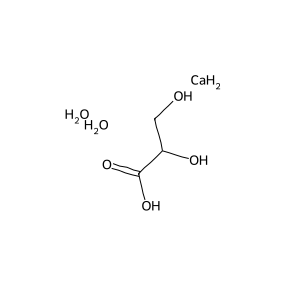 O.O.O=C(O)C(O)CO.[CaH2]